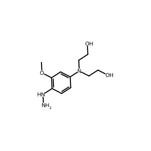 COc1cc(N(CCO)CCO)ccc1NN